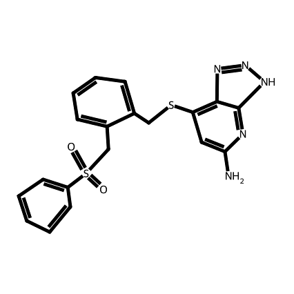 Nc1cc(SCc2ccccc2CS(=O)(=O)c2ccccc2)c2nn[nH]c2n1